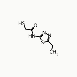 CCc1nnc(NC(=O)CS)s1